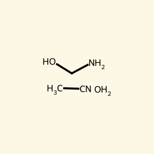 CC#N.NCO.O